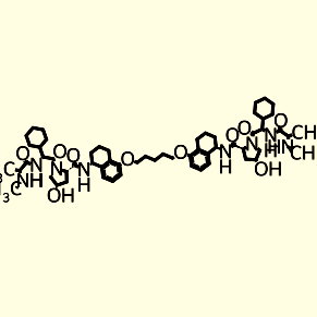 CNC(C)C(=O)NC(C(=O)N1C[C@@H](O)C[C@H]1C(=O)N[C@@H]1CCCc2c(OCCCCCOc3cccc4c3CCC[C@H]4NC(=O)[C@@H]3C[C@H](O)CN3C(=O)C(NC(=O)C(C)NC)C3CCCCC3)cccc21)C1CCCCC1